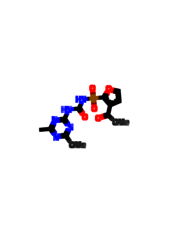 COC(=O)c1ccoc1S(=O)(=O)NC(=O)Nc1nc(C)nc(OC)n1